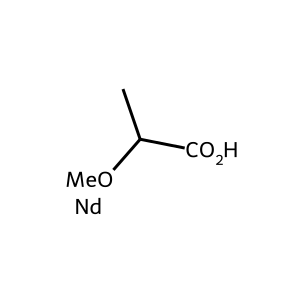 COC(C)C(=O)O.[Nd]